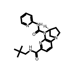 CC(C)(C)CNC(=O)c1ccc2c(n1)N(C(=O)Nc1ccccn1)[C@H]1CCN2C1